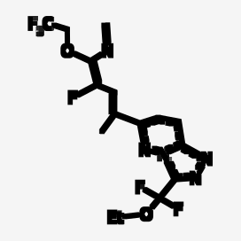 C=N/C(OCC(F)(F)F)=C(F)\C=C(/C)c1ccc2nnc(C(F)(F)OCC)n2n1